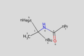 CCCCCCCC(C)(CCCC)NC(=O)CCC